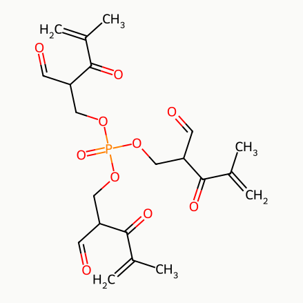 C=C(C)C(=O)C(C=O)COP(=O)(OCC(C=O)C(=O)C(=C)C)OCC(C=O)C(=O)C(=C)C